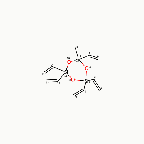 C=C[Si]1(C)O[Si](C=C)(C=C)O[Si](C=C)(C=C)O1